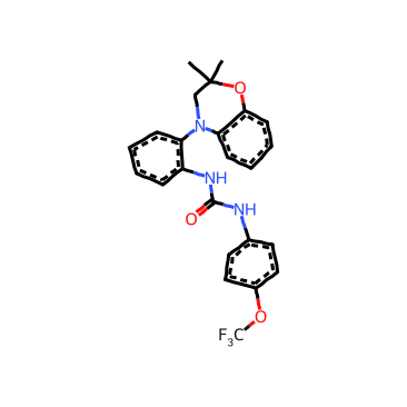 CC1(C)CN(c2ccccc2NC(=O)Nc2ccc(OC(F)(F)F)cc2)c2ccccc2O1